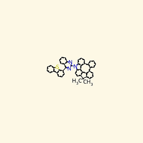 CC1(C)c2cccc3c4ccccc4c4cccc5c4c4c(c1ccc4n5-c1nc(-c4cccc5c4sc4ccccc45)c4ccccc4n1)c23